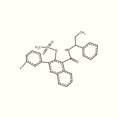 CCC(NC(=O)c1c(OS(C)(=O)=O)c(-c2cccc(F)c2)nc2ccccc12)c1ccccc1